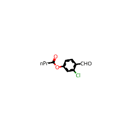 [CH2]CCC(=O)Oc1ccc(C=O)c(Cl)c1